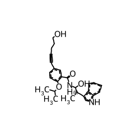 CC(C)Oc1ccc(C#CCCCO)cc1C(=O)NC(O)[C@H](C)c1c[nH]c2ccccc12